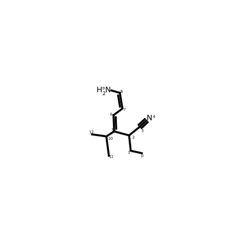 CCC(C#N)/C(=C\C=C/N)C(C)C